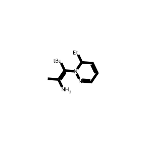 CCC1C=CC=NN1/C(=C(/C)N)C(C)(C)C